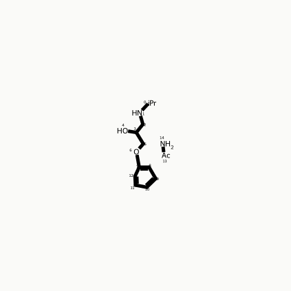 CC(C)NCC(O)COc1ccccc1.CC(N)=O